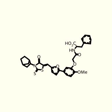 COc1ccc(-c2ccc(/C=C3\SC(=S)N(C4CC5CCC4C5)C3=O)o2)cc1OCC(=O)N[C@@H](Cc1ccccc1)C(=O)O